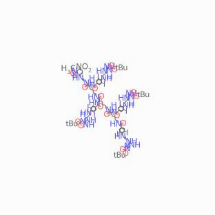 CN1ON=C2C(NCCNC(=O)[C@H](CCCCNC(=O)[C@H](CCCCNC(=O)[C@H](CCCCNC(=O)c3cc(I)c(NCCNC(=N)N=NC(=O)OC(C)(C)C)c(I)c3)NC(=O)c3cc(I)c(NCCNC(=N)NC(=O)OC(C)(C)C)c(I)c3)NC(=O)c3cc(I)c(NCCNC(=N)NC(=O)OC(C)(C)C)c(I)c3)NC(=O)c3cc(I)c(NCCNC(=N)NC(=O)OC(C)(C)C)c(I)c3)=CC=C([N+](=O)[O-])C21